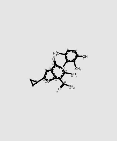 Cc1ccc(O)c(C)c1-n1c(N)c(C(N)=O)c2sc(C3CC3)cc2c1=O